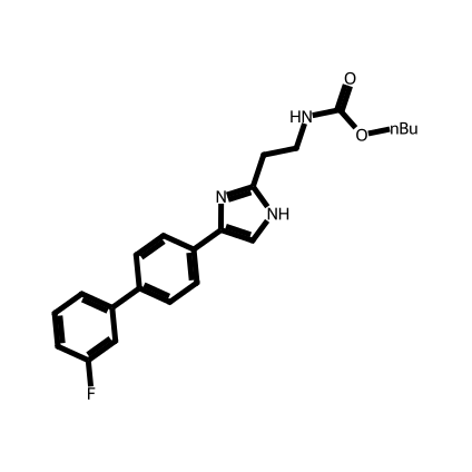 CCCCOC(=O)NCCc1nc(-c2ccc(-c3cccc(F)c3)cc2)c[nH]1